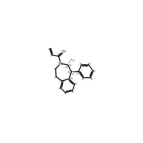 C=CC(=O)N1CCc2ccccc2[C@H](c2ccccc2)[C@H]1C